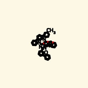 CC1C=c2c(n(-c3cccc(-c4ccccc4)c3)c3c2ccc2c4ccccc4n(-c4cc(-c5ccccc5)nc(-c5cccc6c5oc5ccccc56)n4)c23)=CC1